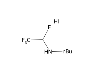 CCCCNC(F)C(F)(F)F.I